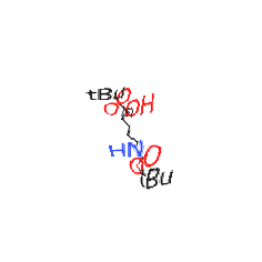 CC(C)(C)OC(=O)NCCCC[C@H](O)C(=O)OC(C)(C)C